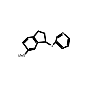 CNc1ccc2c(c1)C(Oc1cccnc1)CC2